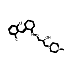 CN1CCN(C[C@H](O)CO/N=C2\CCCC\C2=C/c2c(Cl)cccc2Cl)CC1